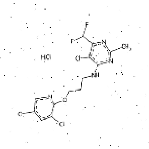 Cc1nc(NCCCOc2ncc(Cl)cc2Cl)c(Cl)c(C(F)F)n1.Cl